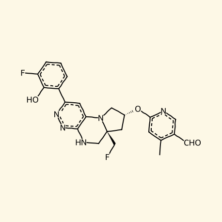 Cc1cc(O[C@H]2CN3c4cc(-c5cccc(F)c5O)nnc4NC[C@@]3(CF)C2)ncc1C=O